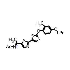 CCCOc1ccc(Oc2ncc(-c3ncc(/C(C)=N/C(C)=O)s3)s2)c(C)c1